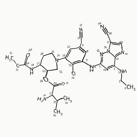 CCNc1nc(Nc2cc(C#N)cc(N3CCC(NC(=O)OC)C(OC(=O)C(N)C(C)C)C3)c2Cl)nn2c(C#N)cnc12